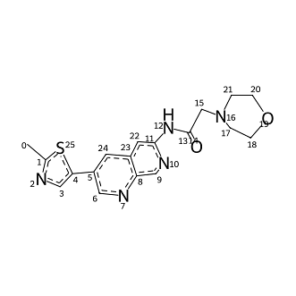 Cc1ncc(-c2cnc3cnc(NC(=O)CN4CCOCC4)cc3c2)s1